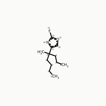 CCCCC(C)(CCC)c1coc(F)n1